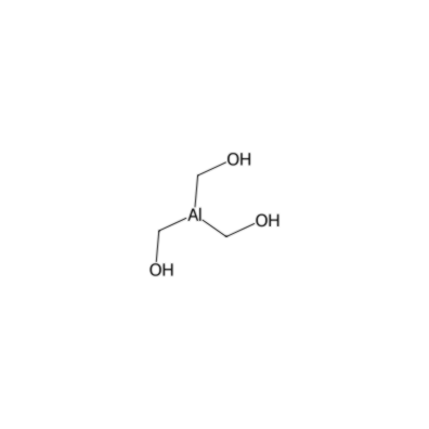 O[CH2][Al]([CH2]O)[CH2]O